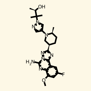 COc1cc(F)cc2c1nc(N)n1nc([C@@H]3CC[C@H](C)N(c4cnn(C(C)(C)[C@@H](C)O)c4)C3)nc21